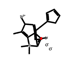 CC1=C2c3c(Br)c(c(Cl)c(C4=CC=CC4)c3[CH]1[Zr+2])[Si]2(C)C.[Cl-].[Cl-]